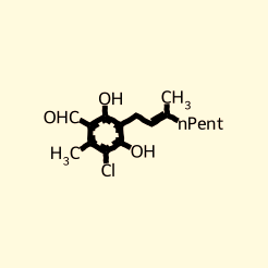 CCCCC/C(C)=C/Cc1c(O)c(Cl)c(C)c(C=O)c1O